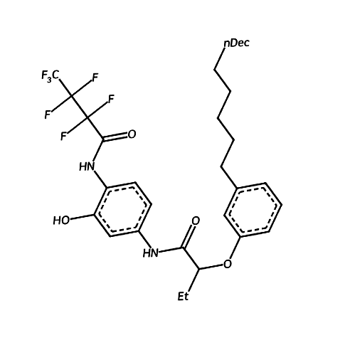 CCCCCCCCCCCCCCCc1cccc(OC(CC)C(=O)Nc2ccc(NC(=O)C(F)(F)C(F)(F)C(F)(F)F)c(O)c2)c1